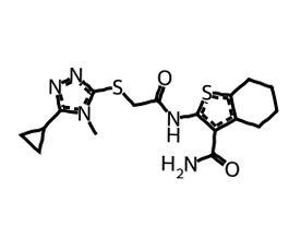 Cn1c(SCC(=O)Nc2sc3c(c2C(N)=O)CCCC3)nnc1C1CC1